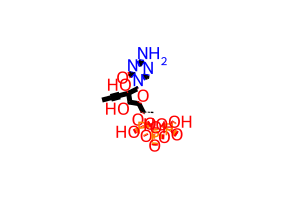 CC#C[C@@]1(O)[C@@H](O)C([C@H](C)OP(=O)(O)OP(=O)(O)OP(=O)(O)O)O[C@H]1n1cnc(N)nc1=O